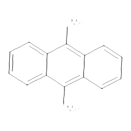 CSc1c2ccccc2c(SC)c2ccccc12